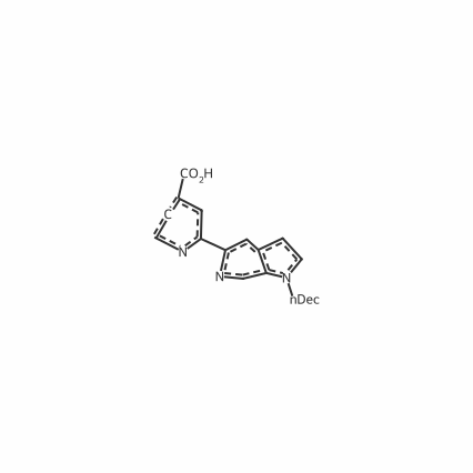 CCCCCCCCCCn1ccc2cc(-c3cc(C(=O)O)ccn3)ncc21